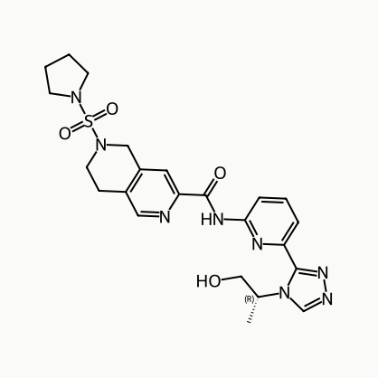 C[C@H](CO)n1cnnc1-c1cccc(NC(=O)c2cc3c(cn2)CCN(S(=O)(=O)N2CCCC2)C3)n1